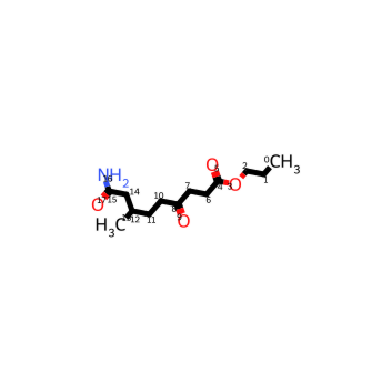 CCCOC(=O)CCC(=O)CCC(C)CC(N)=O